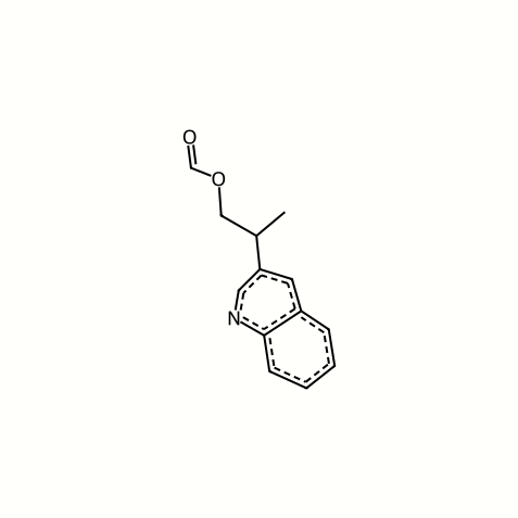 CC(COC=O)c1cnc2ccccc2c1